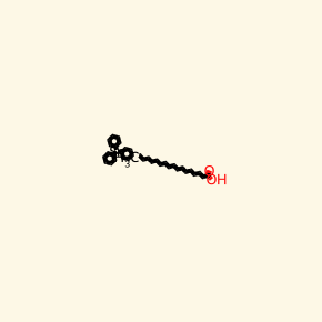 C1CC[CH]([Sn]([CH]2CCCCC2)[CH]2CCCCC2)CC1.CCCCCCCCCCCCCCCCCC(=O)O